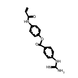 C=CC(=O)Nc1ccc(OC(=O)c2ccc(NC(=N)N)cc2)cc1